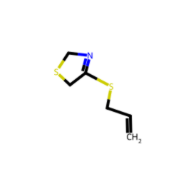 C=CCSC1=NCSC1